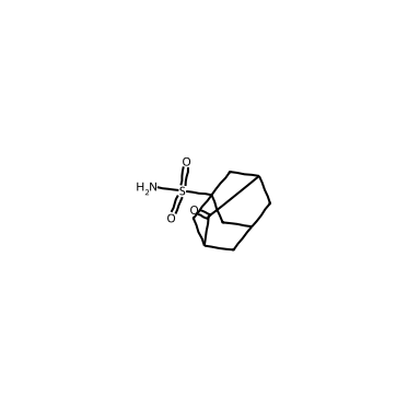 NS(=O)(=O)C12CC3CC(C1)C(=O)C(C3)C2